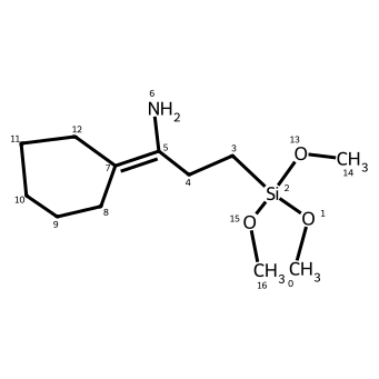 CO[Si](CCC(N)=C1CCCCC1)(OC)OC